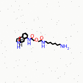 NCCCCCCCNC(=O)COCC(=O)Nc1cccc2c1C[C@H]1NCC[C@@]23CCCC[C@@H]13